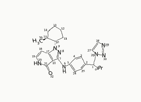 CC(C)C(c1ccc(Nc2nn([C@H]3CCCC[C@@H]3C)c3cc[nH]c(=O)c23)cc1)n1ccnn1